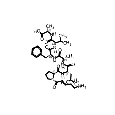 CC(C)C[C@H](NC(=O)[C@@H]1CCCN1C(=O)CCCCN)C(=O)N[C@@H](C)C(=O)N[C@@H](Cc1ccccc1)C(=O)N[C@H](C(=O)N[C@@H](C)C(=O)O)C(C)C